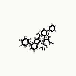 CCC1=Cc2c(-c3ccccc3)cccc2[CH]1[Zr]([CH]1C(CC)=Cc2c(-c3ccccc3)cccc21)[SiH](C)C